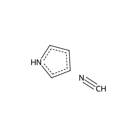 C#N.c1cc[nH]c1